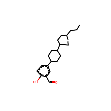 CCCC1CCC(C2CCC(c3ccc(O)c(C=O)c3)CC2)CC1